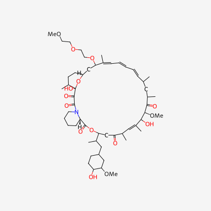 COCCOCCOC1C[C@@H]2CCC(C)C(O)(O2)C(=O)C(=O)N2CCCC[C@H]2C(=O)OC(C(C)CC2CCC(O)C(OC)C2)CC(=O)C(C)/C=C(\C)C(O)C(OC)C(=O)C(C)CC(C)/C=C/C=C/C=C/1C